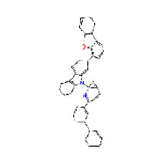 C1=CCC(C2C=C(C3=NC4(n5c6c(c7c5=CC(c5cccc8c5OC5C=CCCC85)CC=7)CCC=C6)C=C4C=C3)C=CC2)C=C1